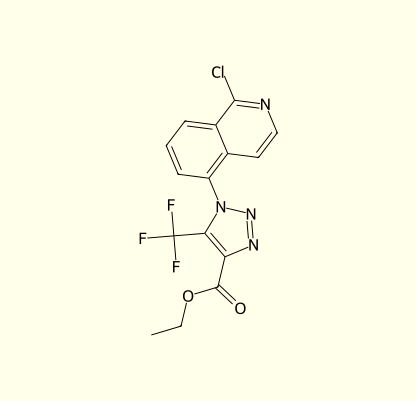 CCOC(=O)c1nnn(-c2cccc3c(Cl)nccc23)c1C(F)(F)F